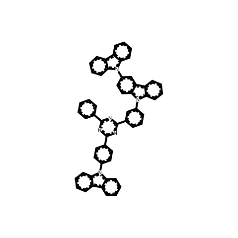 c1ccc(-c2nc(-c3ccc(-n4c5ccccc5c5ccccc54)cc3)nc(-c3cccc(-n4c5ccccc5c5cc(-n6c7ccccc7c7ccccc76)ccc54)c3)n2)cc1